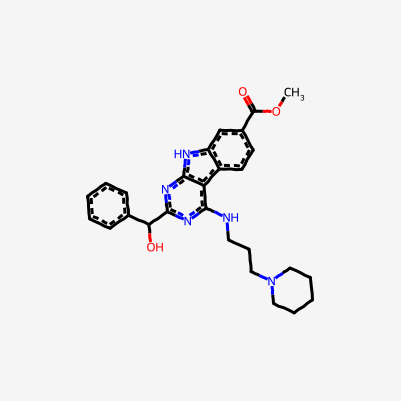 COC(=O)c1ccc2c(c1)[nH]c1nc(C(O)c3ccccc3)nc(NCCCN3CCCCC3)c12